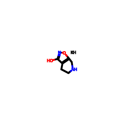 Oc1noc2c1CCNC2.[KH]